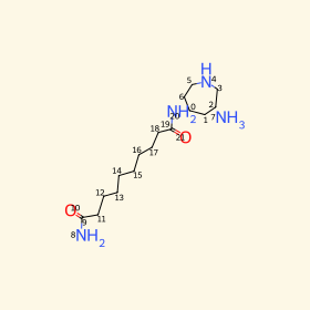 C1CCCNCC1.N.NC(=O)CCCCCCCCC(N)=O